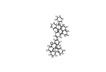 c1ccc(N2c3ccccc3B3c4ccc(-c5ccc6c(c5)Oc5ccc7cccc8c7c5B6c5ccccc5-8)cc4-c4cccc5ccc2c3c45)cc1